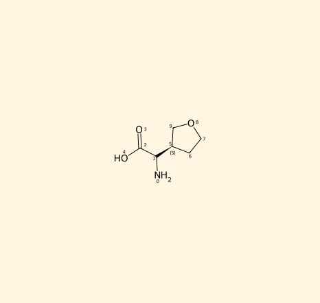 NC(C(=O)O)[C@@H]1CCOC1